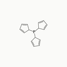 C1=CC(P(C2C=CC=C2)C2C=CC=C2)C=C1